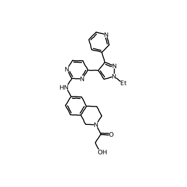 CCn1cc(-c2ccnc(Nc3ccc4c(c3)CCN(C(=O)CO)C4)n2)c(-c2cccnc2)n1